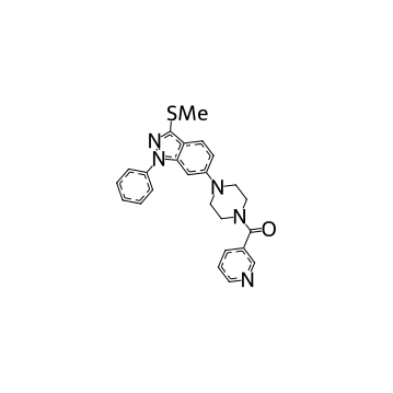 CSc1nn(-c2ccccc2)c2cc(N3CCN(C(=O)c4cccnc4)CC3)ccc12